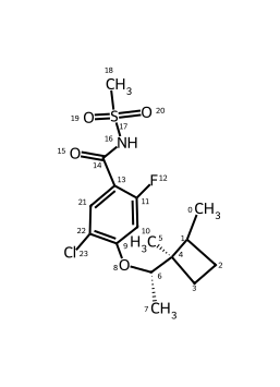 CC1CC[C@@]1(C)[C@H](C)Oc1cc(F)c(C(=O)NS(C)(=O)=O)cc1Cl